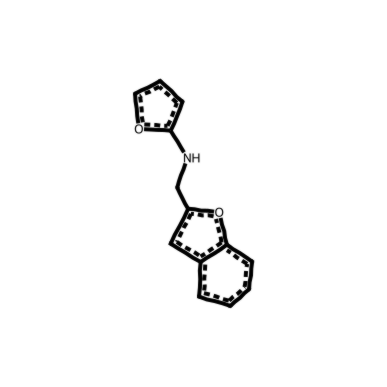 c1coc(NCc2cc3ccccc3o2)c1